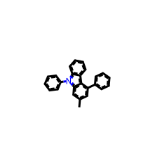 Cc1cc(-c2ccccc2)c2c3ccccc3n(-c3ccccc3)c2c1